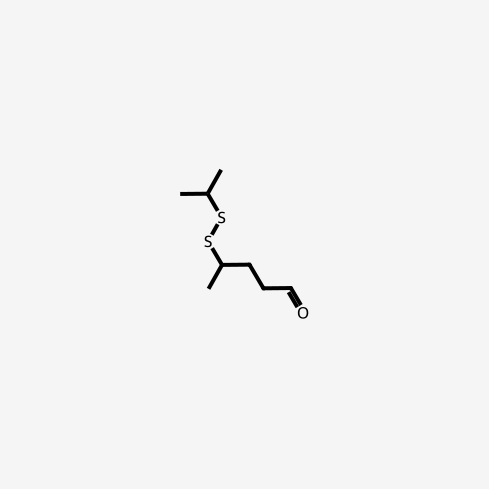 CC(C)SSC(C)CCC=O